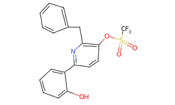 O=S(=O)(Oc1ccc(-c2ccccc2O)nc1Cc1ccccc1)C(F)(F)F